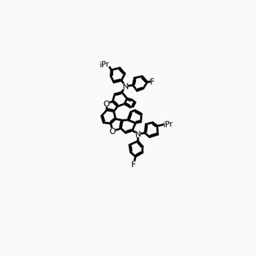 CC(C)c1ccc(N(c2ccc(F)cc2)c2cc3oc4ccc5oc6cc(N(c7ccc(F)cc7)c7ccc(C(C)C)cc7)c7ccccc7c6c5c4c3c3ccccc23)cc1